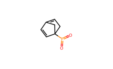 O=P(=O)C12C=CC(=CC1)C2